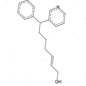 OCC=CCCCC(c1ccccc1)c1cccnc1